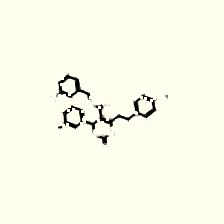 COc1ccc(CCC2=C(C(=O)OCc3cccc(N)c3)C(c3cccc(Cl)c3)NC(=O)N2)cc1